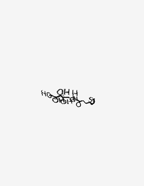 O=C(CCc1cccs1)NOCC(O)[C@@H](O)[C@@H](O)CO